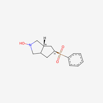 O=S(=O)(c1ccccc1)[C@H]1CC2CN(O)C[C@@H]2C1